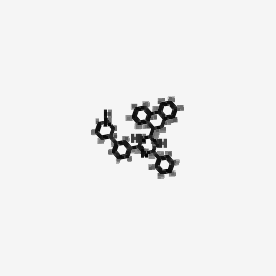 C1=CNCC(c2cccc(C3=NC(c4ccccc4)NC(C4Cc5ccccc5-c5ccccc54)N3)c2)=C1